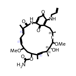 C=CCNC1=C2C[C@@H](C)CC(OC)[C@H](O)[C@@H](C)/C=C(\C)C(OC(N)=O)CC(OC)/C=C\C=C(/C)C(=O)NC(=CC1=O)C2=O